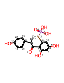 CCC(C(=O)c1c(O)cc(O)cc1SP(=O)(O)O)c1ccc(O)cc1